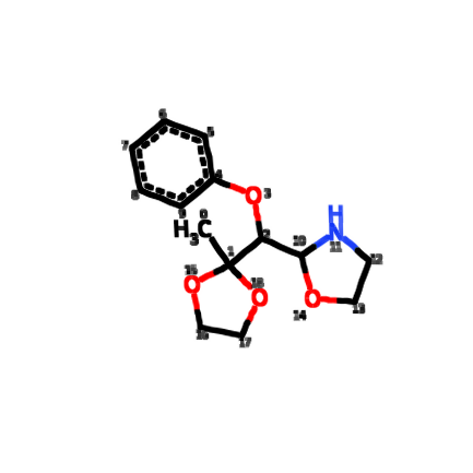 CC1(C(Oc2c[c]ccc2)C2NCCO2)OCCO1